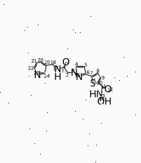 O=C(Cn1ccc(-c2ccc(C(=O)NO)s2)n1)NCc1cccnc1